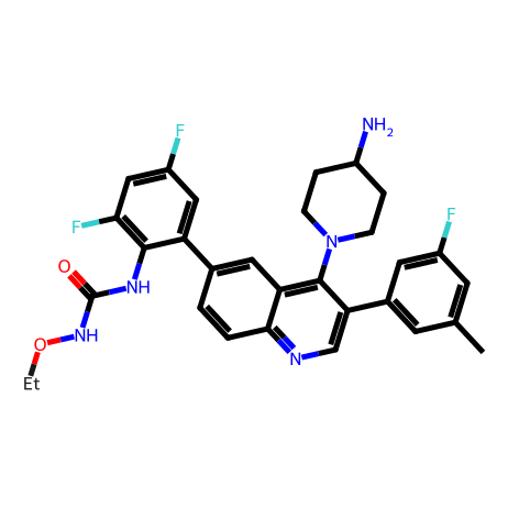 CCONC(=O)Nc1c(F)cc(F)cc1-c1ccc2ncc(-c3cc(C)cc(F)c3)c(N3CCC(N)CC3)c2c1